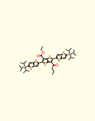 CCCC(=O)c1c(-c2cc3sc([Si](C(C)C)(C(C)C)C(C)C)cc3s2)sc2c(C(=O)OCC)c(-c3cc4sc([Si](C(C)C)(C(C)C)C(C)C)cc4s3)sc12